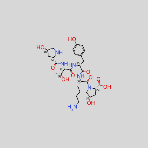 C[C@@H](O)[C@H](NC(=O)[C@@H]1C[C@@H](O)CN1)C(=O)N[C@@H](Cc1ccc(O)cc1)C(=O)N[C@@H](CCCCN)C(=O)N1C[C@H](O)C[C@H]1C(=O)O